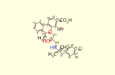 CC(C)c1cc(-c2ccccc2C(C)OC[C@H](O)CNC(C)(C)Cc2ccc(Cl)c(F)c2)ccc1C(=O)O